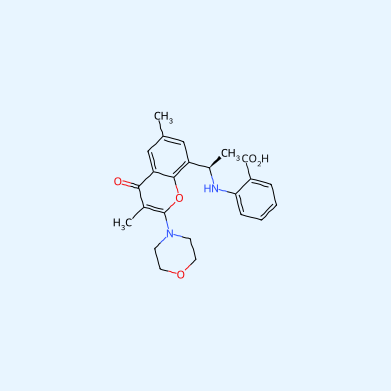 Cc1cc([C@@H](C)Nc2ccccc2C(=O)O)c2oc(N3CCOCC3)c(C)c(=O)c2c1